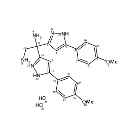 COc1ccc(-c2cc(C(N)(CN)c3cc(-c4ccc(OC)cc4)[nH]n3)n[nH]2)cc1.Cl.Cl